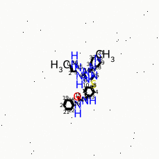 Cc1cc(Nc2nc(Sc3ccc(NC(=O)Nc4ccccc4)cc3)nc(N3CCN(C)CC3)n2)n[nH]1